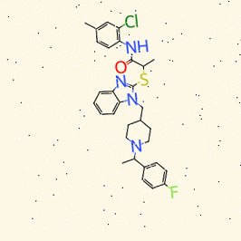 Cc1ccc(NC(=O)C(C)Sc2nc3ccccc3n2CC2CCN(C(C)c3ccc(F)cc3)CC2)c(Cl)c1